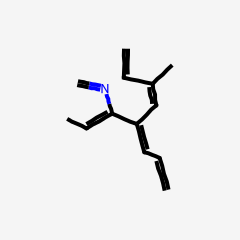 C=C/C=C(\C=C(\C)C=C)C(=C/C)/N=C